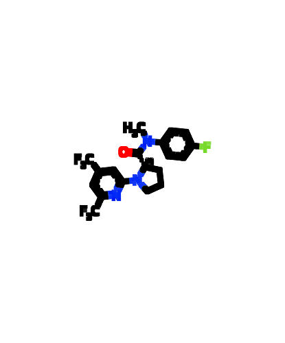 CN(C(=O)[C@@H]1CCCN1c1cc(C(F)(F)F)cc(C(F)(F)F)n1)c1ccc(F)cc1